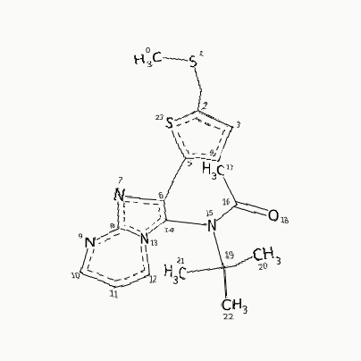 CSc1ccc(-c2nc3ncccn3c2N(C(C)=O)C(C)(C)C)s1